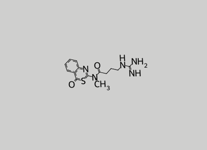 CN(C(=O)CCCNC(=N)N)c1nc2ccccc2c(=O)s1